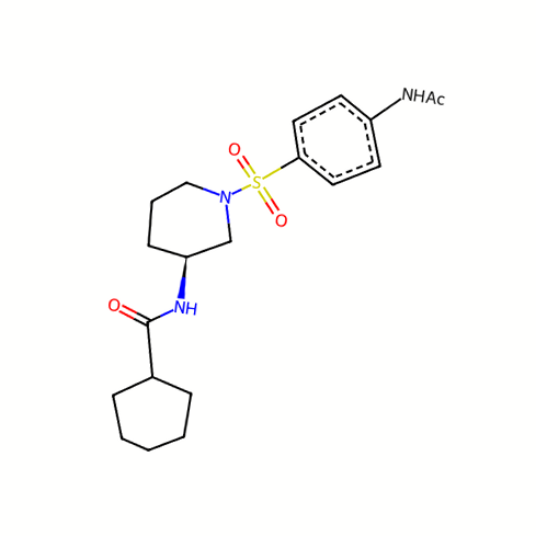 CC(=O)Nc1ccc(S(=O)(=O)N2CCC[C@H](NC(=O)C3CCCCC3)C2)cc1